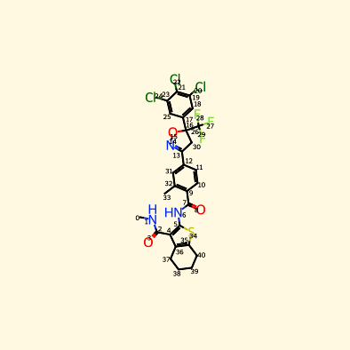 CNC(=O)c1c(NC(=O)c2ccc(C3=NOC(c4cc(Cl)c(Cl)c(Cl)c4)(C(F)(F)F)C3)cc2C)sc2c1CCCC2